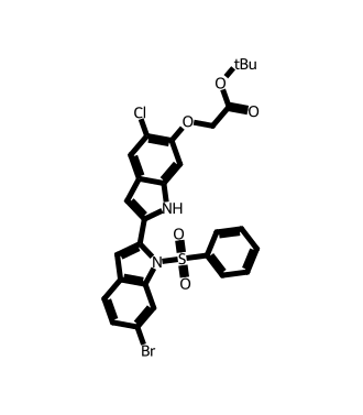 CC(C)(C)OC(=O)COc1cc2[nH]c(-c3cc4ccc(Br)cc4n3S(=O)(=O)c3ccccc3)cc2cc1Cl